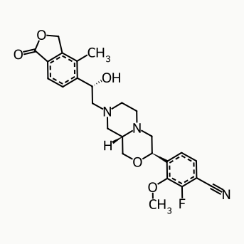 COc1c([C@@H]2CN3CCN(C[C@@H](O)c4ccc5c(c4C)COC5=O)C[C@H]3CO2)ccc(C#N)c1F